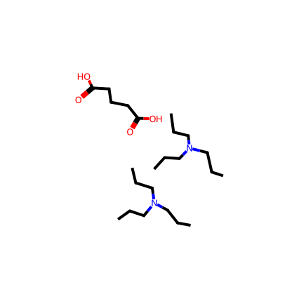 CCCN(CCC)CCC.CCCN(CCC)CCC.O=C(O)CCCC(=O)O